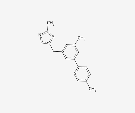 Cc1ccc(-c2cc(C)cc(Cc3cnc(C)s3)c2)cc1